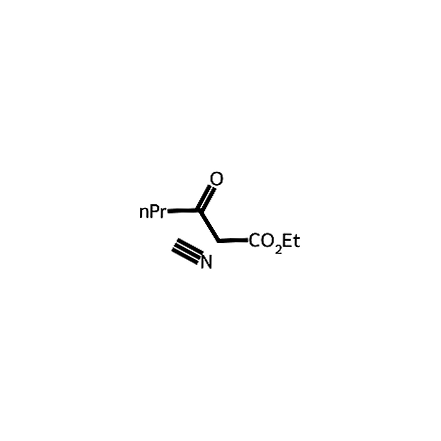 C#N.CCCC(=O)CC(=O)OCC